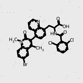 Cc1c(-c2ccc(CC(NC(=O)c3c(Cl)cccc3Cl)C(=O)O)c3ncccc23)c(=O)n(C)c2ccc(Br)cc12